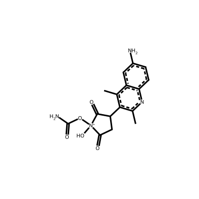 Cc1nc2ccc(N)cc2c(C)c1C1CC(=O)[N+](O)(OC(N)=O)C1=O